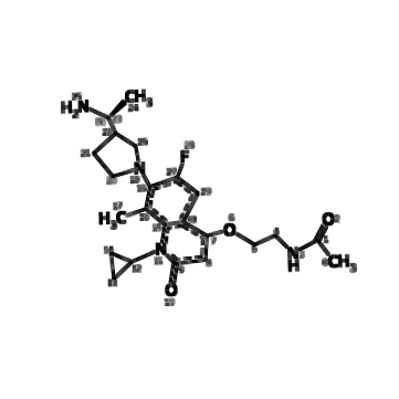 CC(=O)NCCOc1cc(=O)n(C2CC2)c2c(C)c(N3CCC([C@H](C)N)C3)c(F)cc12